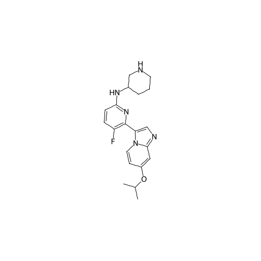 CC(C)Oc1ccn2c(-c3nc(NC4CCCNC4)ccc3F)cnc2c1